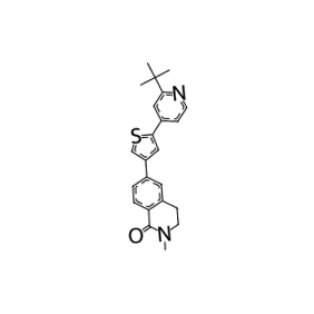 CN1CCc2cc(-c3csc(-c4ccnc(C(C)(C)C)c4)c3)ccc2C1=O